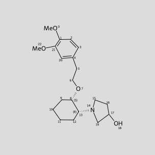 COc1ccc(CCO[C@H]2CCCC[C@H]2N2CCC(O)C2)cc1OC